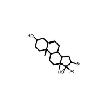 CC(=O)C1(O)C(Br)CC2C3CC=C4CC(O)CCC4(C)C3CCC21C